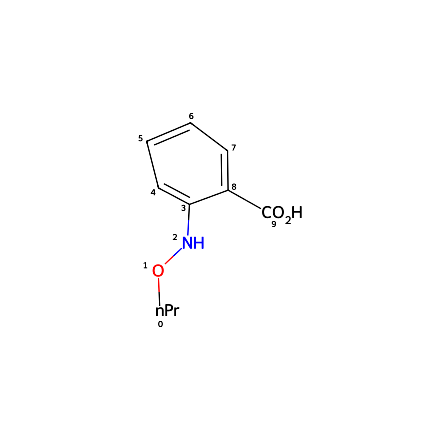 CCCONc1ccccc1C(=O)O